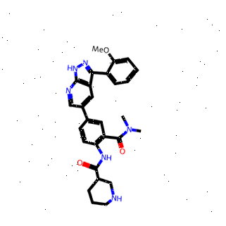 COc1ccccc1-c1n[nH]c2ncc(-c3ccc(NC(=O)C4CCCNC4)c(C(=O)N(C)C)c3)cc12